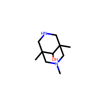 CN1CC2(C)CNCC(C)(C1)C2O